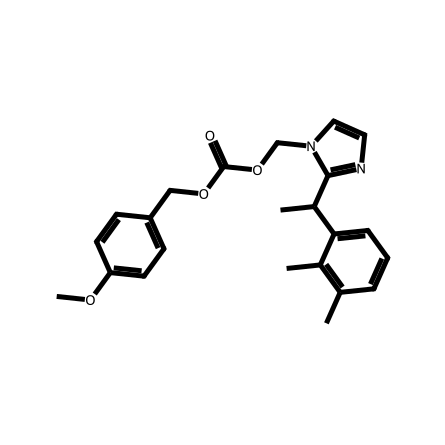 COc1ccc(COC(=O)OCn2ccnc2C(C)c2cccc(C)c2C)cc1